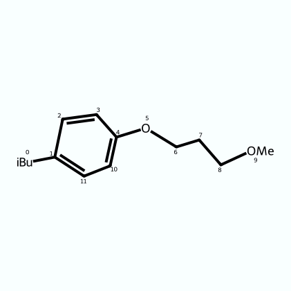 CCC(C)c1ccc(OCCCOC)cc1